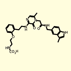 Cc1c[nH]c2ccc(CNC(=O)Cn3c(C)cnc(NCCc4ccccc4OCCNC(=O)O)c3=O)cc12